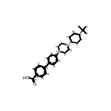 CC(C)(C)[C@H]1CC[C@H](N2CCN(c3ccc(-c4ccc(C(=O)O)cc4)cc3)CC2)CC1